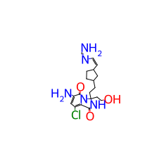 N/C=N\C=C/C1CCC(CCC2(CCO)NC(=O)c3c(Cl)cc(N)c(=O)n32)C1